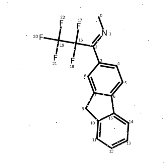 C/N=C(/c1ccc2c(c1)Cc1ccccc1-2)C(F)(F)C(F)(F)F